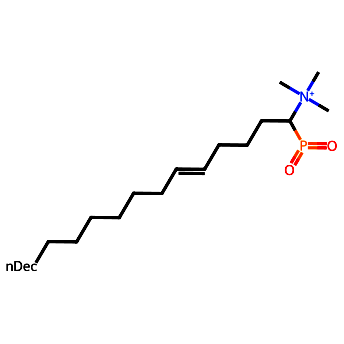 CCCCCCCCCCCCCCCCC=CCCCC(P(=O)=O)[N+](C)(C)C